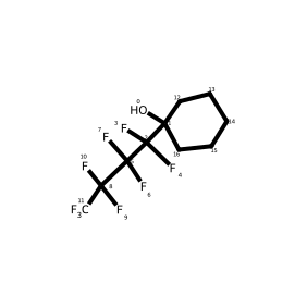 OC1(C(F)(F)C(F)(F)C(F)(F)C(F)(F)F)CCCCC1